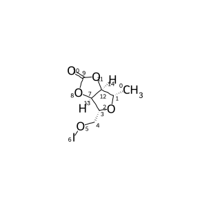 C[C@@H]1O[C@H](COI)[C@H]2OC(=O)O[C@H]21